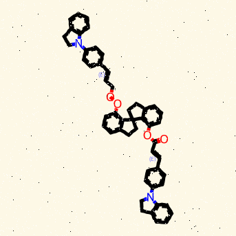 O=C(/C=C/c1ccc(N2CCc3ccccc32)cc1)Oc1cccc2c1C1(CCc3cccc(OOC/C=C/c4ccc(N5CCc6ccccc65)cc4)c31)CC2